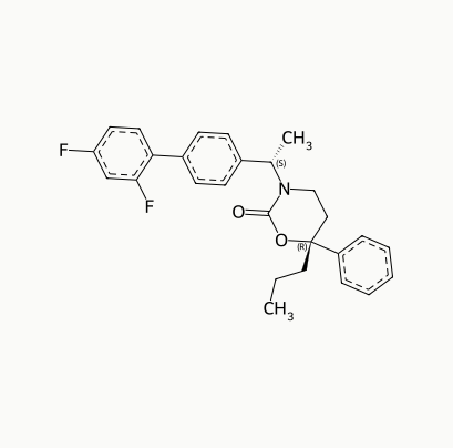 CCC[C@]1(c2ccccc2)CCN([C@@H](C)c2ccc(-c3ccc(F)cc3F)cc2)C(=O)O1